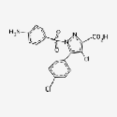 Nc1ccc(S(=O)(=O)n2nc(C(=O)O)c(Cl)c2-c2ccc(Cl)cc2)cc1